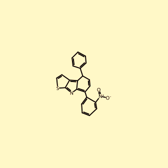 O=[N+]([O-])c1ccccc1C1=C2N=c3sccc3=C2C(c2ccccc2)C=C1